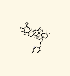 C=C/C=C\C(C=C)CCC[C@]12CCC(C)(C)C[C@@]1(C)[C@H]1C(=O)C=C3[C@@]4(C)C=C(C#N)C(=O)C(C)(C)[C@]4(C=C)CC[C@@]3(C)[C@]1(C)CC2